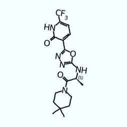 C[C@H](Nc1nnc(-c2ccc(C(F)(F)F)[nH]c2=O)o1)C(=O)N1CCC(C)(C)CC1